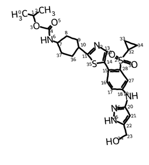 CC(C)OC(=O)NC1CCC(c2ncc(-c3ccc(Nc4cc(CO)[nH]n4)cc3S(=O)(=O)C3CC3)s2)CC1